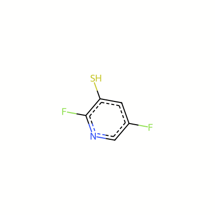 Fc1cnc(F)c(S)c1